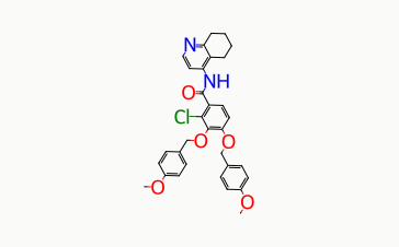 COc1ccc(COc2ccc(C(=O)Nc3ccnc4c3CCCC4)c(Cl)c2OCc2ccc(OC)cc2)cc1